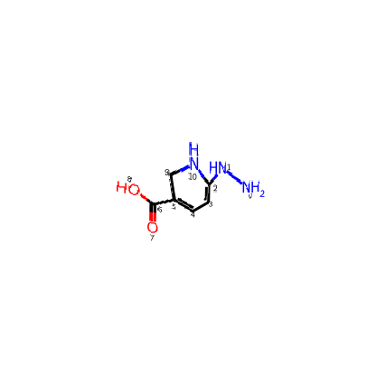 NNC1=CC=C(C(=O)O)CN1